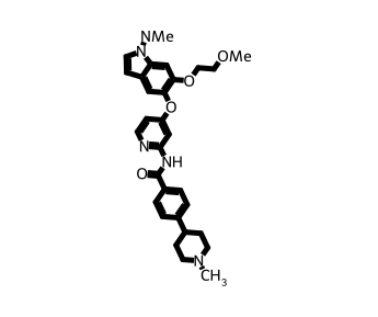 CNn1ccc2cc(Oc3ccnc(NC(=O)c4ccc(C5CCN(C)CC5)cc4)c3)c(OCCOC)cc21